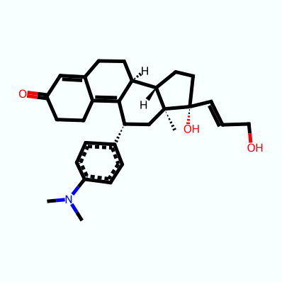 CN(C)c1ccc([C@H]2C[C@@]3(C)[C@@H](CC[C@@]3(O)/C=C/CO)[C@@H]3CCC4=CC(=O)CCC4=C32)cc1